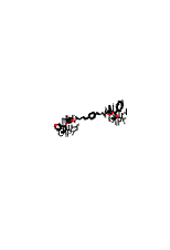 CC(C)C(=O)NC(c1ccccc1)c1cn(CCCCc2ccc(CCCCn3cc(C(NC(=O)C(C)C)c4ccccc4)nn3)cc2)nn1